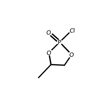 CC1COP(=O)(Cl)O1